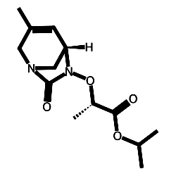 CC1=C[C@H]2CN(C1)C(=O)N2O[C@@H](C)C(=O)OC(C)C